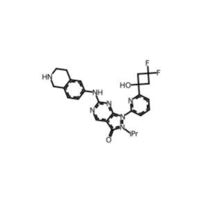 CC(C)n1c(=O)c2cnc(Nc3ccc4c(c3)CCNC4)nc2n1-c1cccc(C2(O)CC(F)(F)C2)n1